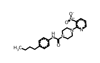 CCCCc1ccc(NC(=O)N2CCN(c3ncccc3[N+](=O)[O-])CC2)cc1